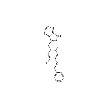 Fc1cc(OCc2ccccc2)c(F)cc1Cc1c[nH]c2ncccc12